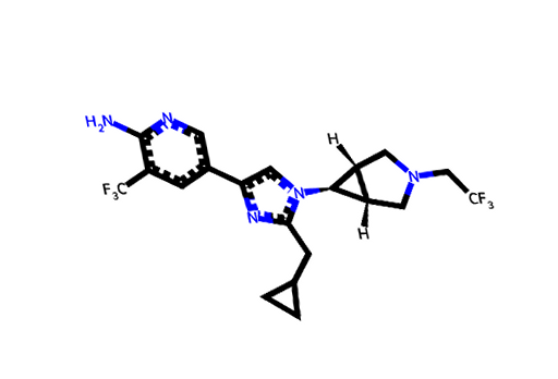 Nc1ncc(-c2cn([C@H]3[C@@H]4CN(CC(F)(F)F)C[C@@H]43)c(CC3CC3)n2)cc1C(F)(F)F